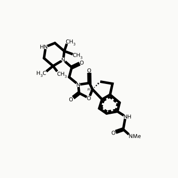 CNC(=O)Nc1ccc2c(c1)CC[C@@]21OC(=O)N(CC(=O)N2C(C)(C)CNCC2(C)C)C1=O